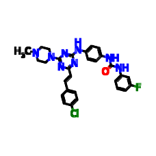 CN1CCN(c2nc(C=Cc3ccc(Cl)cc3)nc(Nc3ccc(NC(=O)Nc4cccc(F)c4)cc3)n2)CC1